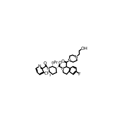 CCC[C@@H]1[C@H](C(=O)N2CCc3cc(F)ccc3C2C(=O)N2CCN(CCO)CC2)CCCN1C(=O)c1ncccc1C(F)(F)F